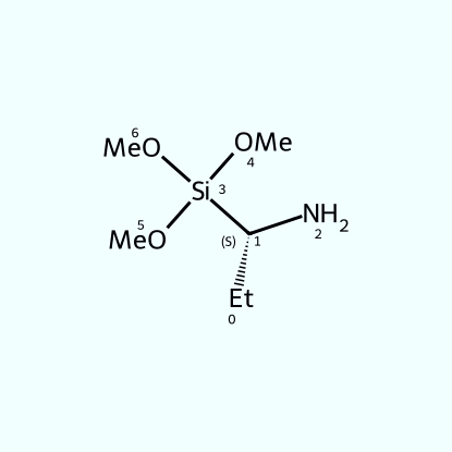 CC[C@@H](N)[Si](OC)(OC)OC